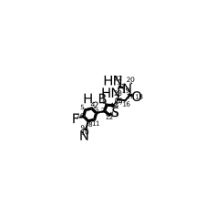 Bc1c(-c2ccc(F)c(C#N)c2)csc1[C@@H]1CC(=O)N(C)C(=N)N1